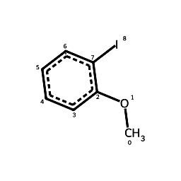 COc1ccc[c]c1I